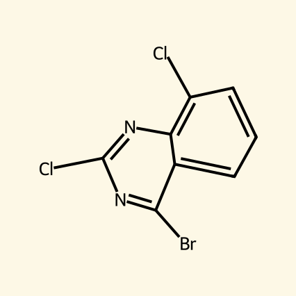 Clc1nc(Br)c2cccc(Cl)c2n1